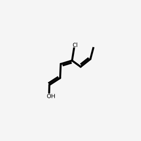 C\C=C/C(Cl)=C\C=C\O